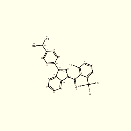 O=C(c1c(F)cccc1C(F)(F)F)n1nc(-c2ccc(C(O)O)cc2)c2ccccc21